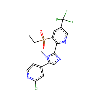 CCS(=O)(=O)c1cc(C(F)(F)F)cnc1-c1ncc(-c2ccnc(Cl)c2)n1C